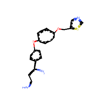 N=C/C=C(\N)c1ccc(Oc2ccc(OCc3cncs3)cc2)cc1